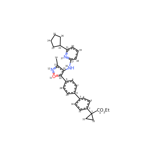 CCOC(=O)C1(c2ccc(-c3ccc(-c4onc(C)c4Nc4cccc(C5CCCC5)n4)cc3)cc2)CC1